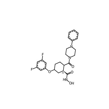 O=C(NO)[C@H]1CC(Oc2cc(F)cc(F)c2)CCC1C(=O)N1CCN(c2ccccc2)CC1